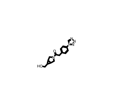 O=C(Cc1ccc(-n2cnnn2)cc1)N1CC2C(CO)C2C1